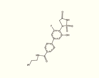 CC(C)CCNC(=O)c1ccc(-c2cc(O)c(N3CC(=O)NS3(=O)=O)c(F)c2)cc1